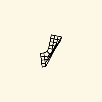 C1C2C3C4CC5C6C7C8C9C%10CC%11C%12C%13C1C21C32C54C34C6C5C7C86C97C%10%11C%128C%131C23C78C564